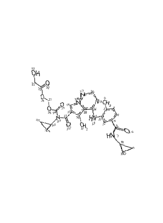 Cc1ccc(C(=O)NC2CC2)cc1Nc1ncnn2cc(C(=O)N(C(=O)OCOC(=O)CO)C3CC3)c(C)c12